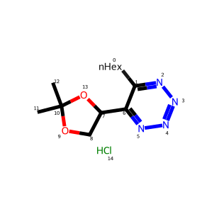 CCCCCCc1nnnnc1C1COC(C)(C)O1.Cl